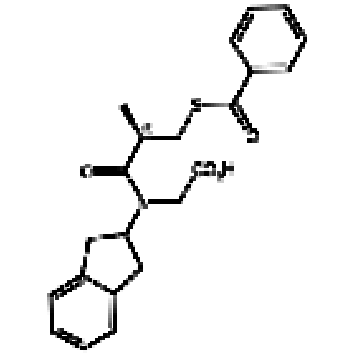 C[C@@H](CSC(=O)c1ccccc1)C(=O)N(CC(=O)O)C1Cc2ccccc2C1